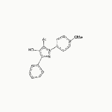 COc1ccc(-n2nc(-c3ccccc3)c(O)c2C(C)=O)cc1